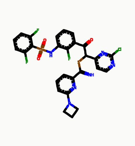 N=C(SC(C(=O)c1cccc(NS(=O)(=O)c2c(F)cccc2F)c1F)c1ccnc(Cl)n1)c1cccc(N2CCC2)n1